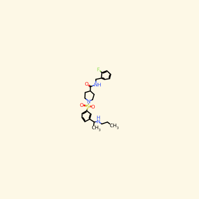 CCCNC(C)c1cccc(S(=O)(=O)N2CCC(C(=O)NCc3ccccc3F)CC2)c1